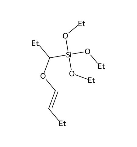 CCC=COC(CC)[Si](OCC)(OCC)OCC